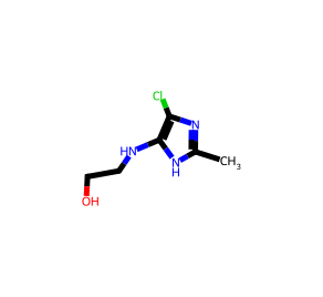 Cc1nc(Cl)c(NCCO)[nH]1